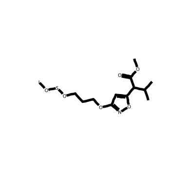 COC(=O)C(c1cc(OCCCOSOI)no1)C(C)C